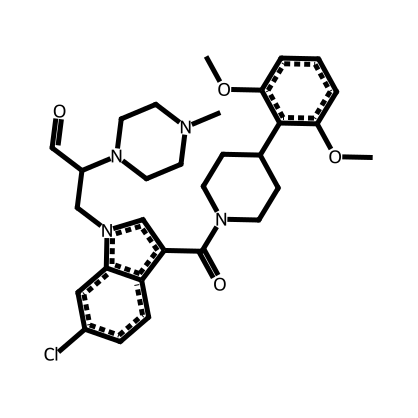 COc1cccc(OC)c1C1CCN(C(=O)c2cn(CC(C=O)N3CCN(C)CC3)c3cc(Cl)ccc23)CC1